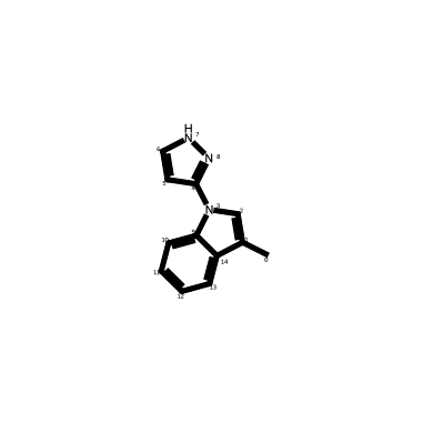 Cc1cn(-c2cc[nH]n2)c2ccccc12